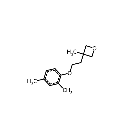 Cc1ccc(OCCC2(C)COC2)c(C)c1